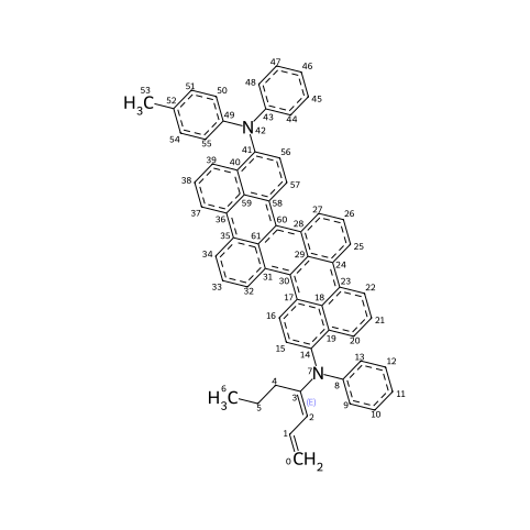 C=C/C=C(\CCC)N(c1ccccc1)c1ccc2c3c1cccc3c1cccc3c1c2c1cccc2c4cccc5c(N(c6ccccc6)c6ccc(C)cc6)ccc(c54)c3c21